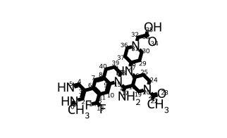 CN/C=C(\C=N)c1cc2c(cc1C(F)F)N(C(N)C1CN(C(C)=O)CCC1NC1CCN(CC(=O)O)CC1)CCC2